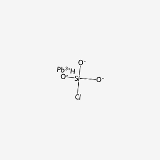 [O-][Si]([O-])([O-])Cl.[PbH+3]